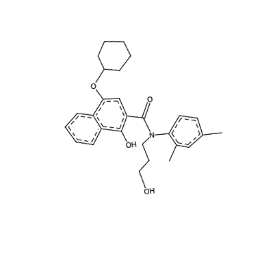 Cc1ccc(N(CCCO)C(=O)c2cc(OC3CCCCC3)c3ccccc3c2O)c(C)c1